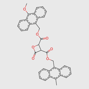 COc1c2ccccc2c(COC(=O)C2OC(=O)C2C(=O)OCc2c3ccccc3c(C)c3ccccc23)c2ccccc12